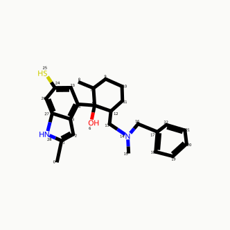 Cc1cc2c(C3(O)C(C)CCCC3CN(C)Cc3ccccc3)cc(S)cc2[nH]1